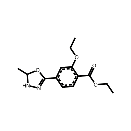 CCOC(=O)c1ccc(C2=NNC(C)O2)cc1OCC